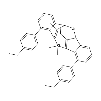 CCC1=C2c3c(-c4ccc(CC)cc4)cccc3[CH]1[Zr][CH]1C(CC)=C(c3c(-c4ccc(CC)cc4)cccc31)[Si]2(C)C